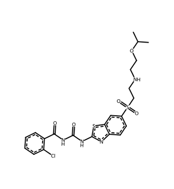 CC(C)OCCNCCS(=O)(=O)c1ccc2nc(NC(=O)NC(=O)c3ccccc3Cl)sc2c1